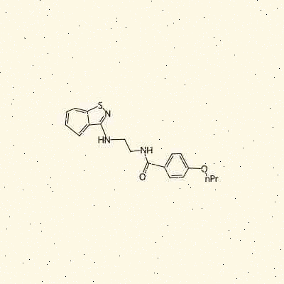 CCCOc1ccc(C(=O)NCCNc2nsc3ccccc23)cc1